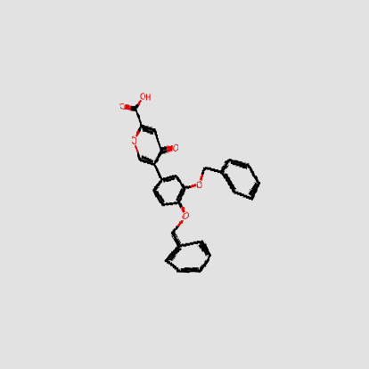 O=C(O)c1cc(=O)c(-c2ccc(OCc3ccccc3)c(OCc3ccccc3)c2)co1